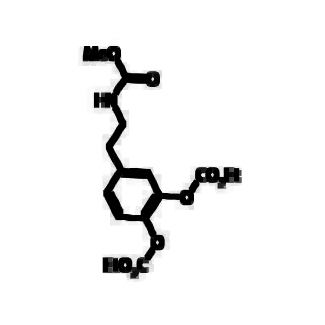 CCOC(=O)Oc1ccc(CCNC(=O)OC)cc1OC(=O)OCC